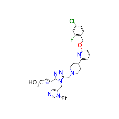 CCn1cncc1Cn1c(/C=C/C(=O)O)nnc1CN1CCC(c2cccc(OCc3ccc(Cl)cc3F)n2)CC1